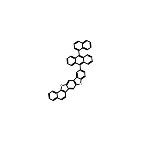 c1ccc2c(-c3c4ccccc4c(-c4ccc5oc6cc7c(cc6c5c4)oc4c5ccccc5ccc74)c4ccccc34)cccc2c1